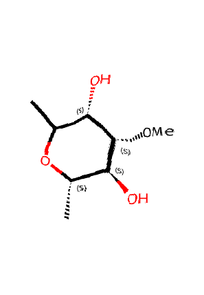 CO[C@@H]1[C@@H](O)[C@H](C)OC(C)[C@@H]1O